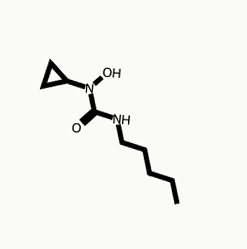 CCCCCNC(=O)N(O)C1CC1